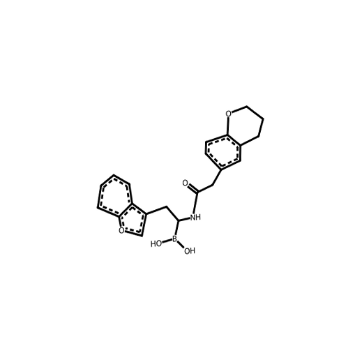 O=C(Cc1ccc2c(c1)CCCO2)NC(Cc1coc2ccccc12)B(O)O